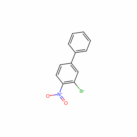 O=[N+]([O-])c1ccc(-c2ccccc2)cc1Br